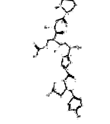 CCCC(=O)OCN(C(=O)[C@@H](NC(=O)[C@H]1CCCCN1C)C(C)CC)[C@H](C[C@@H](OC(C)=O)c1nc(C(=O)N[C@@H](Cc2ccc(O)cc2)C[C@H](C)C(=O)OCC)cs1)C(C)C